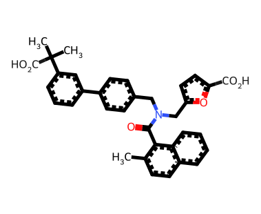 Cc1ccc2ccccc2c1C(=O)N(Cc1ccc(-c2cccc(C(C)(C)C(=O)O)c2)cc1)Cc1ccc(C(=O)O)o1